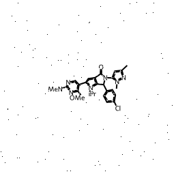 CNc1ncc(-c2cc3c(n2C(C)C)C(c2ccc(Cl)cc2)N(c2cc(C)nn2C)C3=O)c(OC)n1